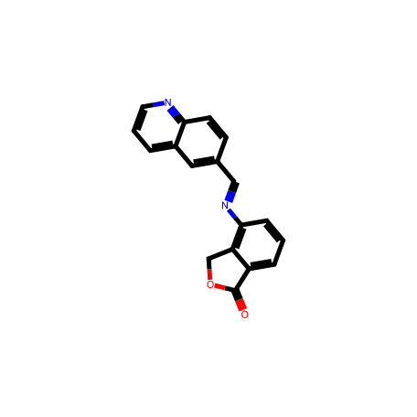 O=C1OCc2c(N=Cc3ccc4ncccc4c3)cccc21